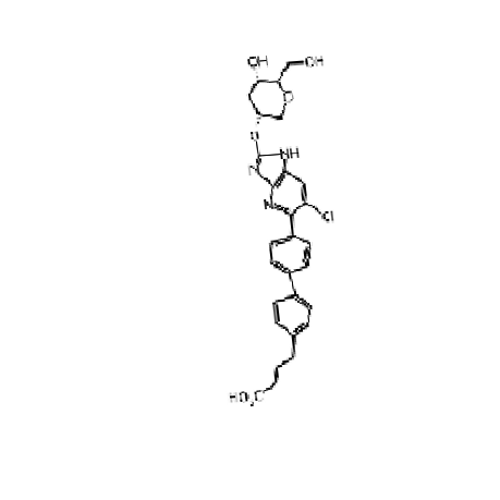 O=C(O)CCCc1ccc(-c2ccc(-c3nc4nc(O[C@H]5CO[C@H](CO)[C@@H](O)C5)[nH]c4cc3Cl)cc2)cc1